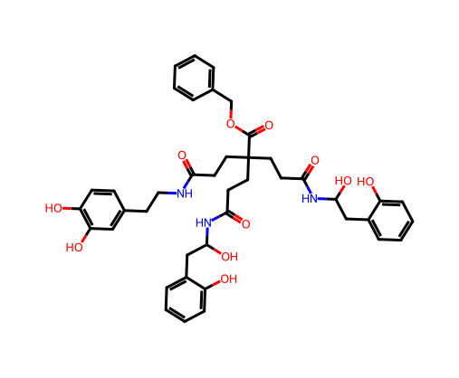 O=C(CCC(CCC(=O)NC(O)Cc1ccccc1O)(CCC(=O)NC(O)Cc1ccccc1O)C(=O)OCc1ccccc1)NCCc1ccc(O)c(O)c1